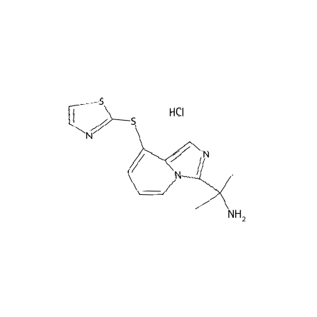 CC(C)(N)c1ncc2c(Sc3nccs3)cccn12.Cl